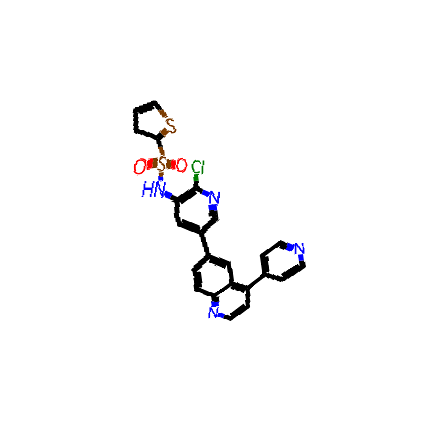 O=S(=O)(Nc1cc(-c2ccc3nccc(-c4ccncc4)c3c2)cnc1Cl)C1CC=CS1